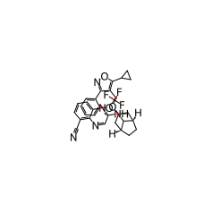 N#Cc1cccc2nc(NC3[C@@H]4CC[C@H]3CC(OCc3c(-c5ccccc5OC(F)(F)F)noc3C3CC3)C4)cnc12